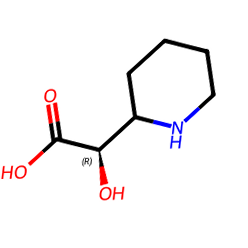 O=C(O)[C@H](O)C1CCCCN1